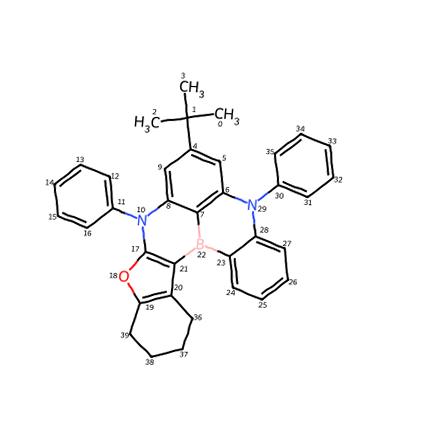 CC(C)(C)c1cc2c3c(c1)N(c1ccccc1)c1oc4c(c1B3c1ccccc1N2c1ccccc1)CCCC4